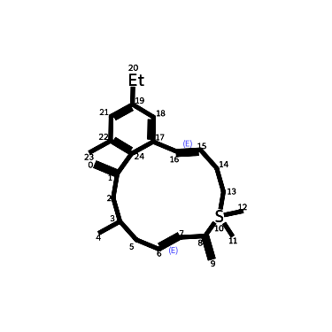 C=C1CC(C)C/C=C/C(=C)S(C)(C)CC/C=C/c2cc(CC)cc(C)c21